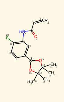 C=CC(=O)Nc1cc(B2OC(C)(C)C(C)(C)O2)ccc1F